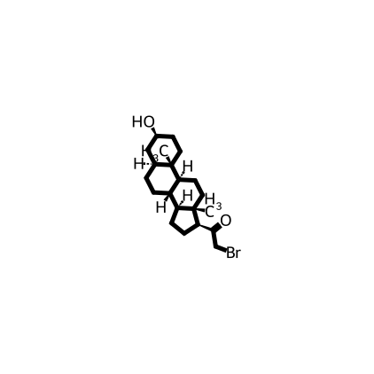 C[C@]12CC[C@H](O)C[C@@H]1CC[C@@H]1[C@@H]2CC[C@]2(C)[C@@H](C(=O)CBr)CC[C@@H]12